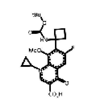 COc1c(C2(NC(=O)OC(C)(C)C)CCC2)c(F)cc2c(=O)c(C(=O)O)cn(C3CC3)c12